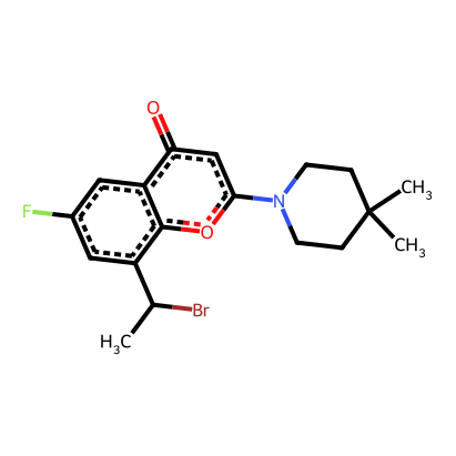 CC(Br)c1cc(F)cc2c(=O)cc(N3CCC(C)(C)CC3)oc12